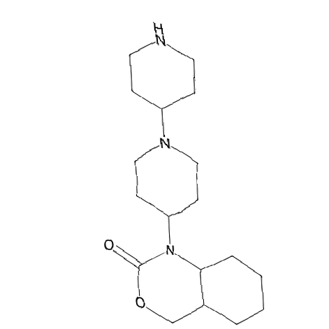 O=C1OCC2CCCCC2N1C1CCN(C2CCNCC2)CC1